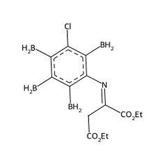 Bc1c(B)c(Cl)c(B)c(/N=C(\CC(=O)OCC)C(=O)OCC)c1B